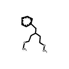 COCCC(CCOC)Cc1ccccc1